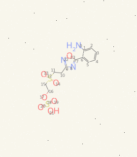 Nc1ccccc1-c1nc(CCS(=O)(=O)CCOS(=O)(=O)O)no1